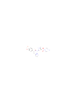 Cc1nc(NC(=O)C(CC2CCCC2)c2ccc(S(C)(=O)=O)cc2)sc1S(=O)(=O)N1CCN(C)CC1